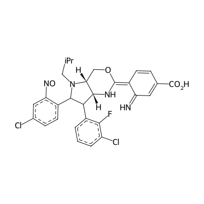 CC(C)CN1C(c2ccc(Cl)cc2N=O)C(c2cccc(Cl)c2F)[C@H]2N/C(=C3/C=CC(C(=O)O)=CC3=N)OC[C@H]21